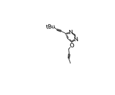 CC#CCOc1cc(C#CC(C)(C)C)ncn1